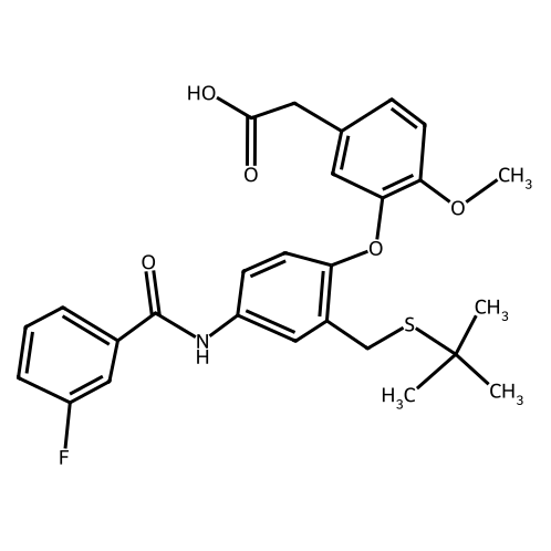 COc1ccc(CC(=O)O)cc1Oc1ccc(NC(=O)c2cccc(F)c2)cc1CSC(C)(C)C